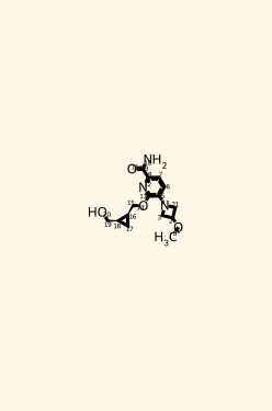 COC1CN(c2ccc(C(N)=O)nc2OC[C@H]2C[C@H]2CO)C1